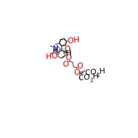 Cc1ccc(O)c2c1[C@]13CCN(C)[C@H](C)[C@]1(O)CC=C(OC(=O)CCC(=O)O[C@H](CC(=O)O)C(=O)O)[C@@H]3O2